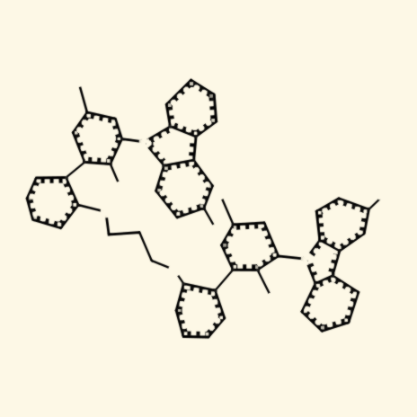 CCc1ccc2c(c1)c1ccccc1n2-c1cc(C)cc(-c2ccccc2OCCCOc2ccccc2-c2cc(C)cc(-n3c4ccccc4c4cc(CC)ccc43)c2O)c1O